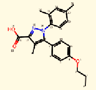 CCCOc1ccc(-c2c(C)c(C(=O)O)nn2-c2ccc(C)cc2C)cc1